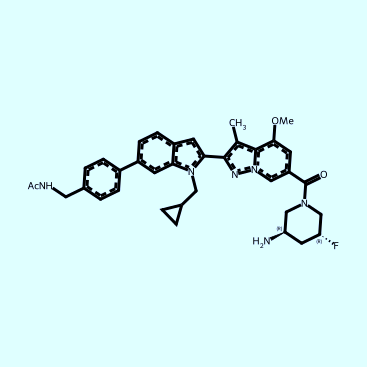 COc1cc(C(=O)N2C[C@H](N)C[C@@H](F)C2)cn2nc(-c3cc4ccc(-c5ccc(CNC(C)=O)cc5)cc4n3CC3CC3)c(C)c12